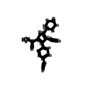 N#Cc1ccc(-c2c(C(N)=O)sc(N3CCOCC3)c2C#N)cc1